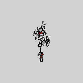 COCCN1C2CCC1CN(c1ccc(C#Cc3ccc(C[C@H](NC(=O)[C@@H](NC(=O)OC)C(C)(C)C(F)(F)F)[C@@H](O)CN(Cc4c(F)cc(-c5ccn(C(F)F)n5)cc4F)NC(=O)[C@@H](NC(=O)OC)C(C)(C)C(F)(F)F)cc3)cn1)C2